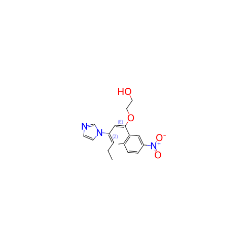 CC/C=C(/C=C(/OCCO)c1cc([N+](=O)[O-])ccc1C)n1ccnc1